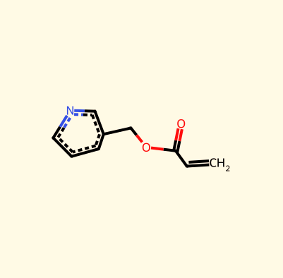 C=CC(=O)OCc1cccnc1